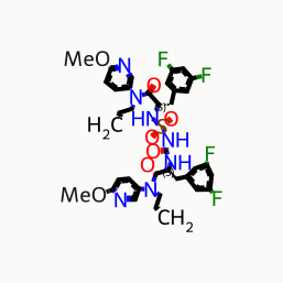 C=CCN(C(=O)[C@H](Cc1cc(F)cc(F)c1)NC(=O)NS(=O)(=O)N[C@@H](Cc1cc(F)cc(F)c1)C(=O)N(CC=C)c1ccc(OC)nc1)c1ccc(OC)nc1